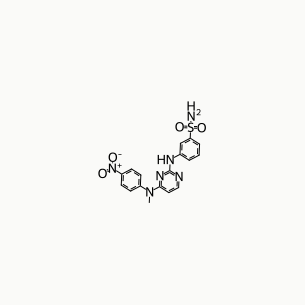 CN(c1ccc([N+](=O)[O-])cc1)c1ccnc(Nc2cccc(S(N)(=O)=O)c2)n1